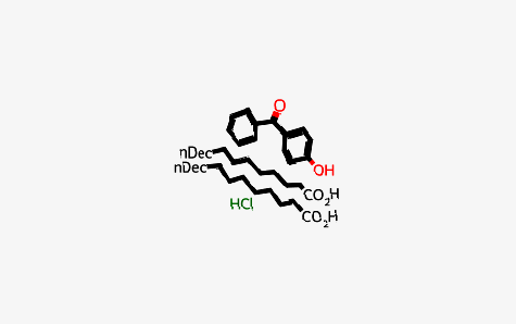 CCCCCCCCCCCCCCCCCC(=O)O.CCCCCCCCCCCCCCCCCC(=O)O.Cl.O=C(c1ccccc1)c1ccc(O)cc1